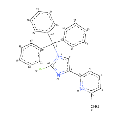 O=Cc1cccc(-c2cn(C(c3ccccc3)(c3ccccc3)c3ccccc3)c(F)n2)n1